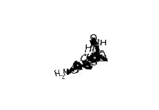 CCOc1cc(O[C@H]2CCc3c(-c4cccc(OCCC(C)(C)N)c4C)cccc32)c(Cl)cc1CNC[C@@H]1CCC(=O)N1